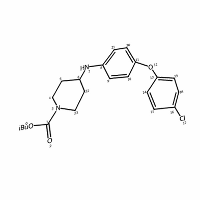 CC(C)COC(=O)N1CCC(Nc2ccc(Oc3ccc(Cl)cc3)cc2)CC1